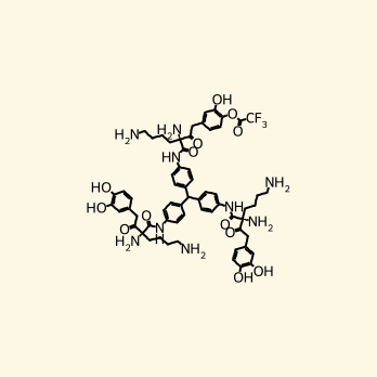 NCCCC[C@](N)(C(=O)Cc1ccc(O)c(O)c1)C(=O)Nc1ccc(C(c2ccc(NC(=O)[C@](N)(CCCCN)C(=O)Cc3ccc(O)c(O)c3)cc2)c2ccc(NC(=O)[C@](N)(CCCCN)C(=O)Cc3ccc(OC(=O)C(F)(F)F)c(O)c3)cc2)cc1